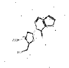 OCC1O[C@@H](n2ccc3ccsc3c2=S)C[C@H]1O